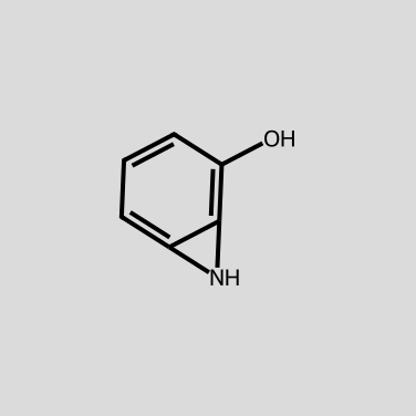 Oc1cccc2c1N2